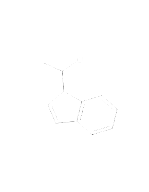 CC(Cl)C1C=Cc2[c]cccc21